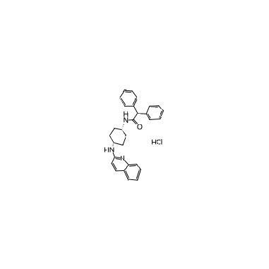 Cl.O=C(N[C@H]1CC[C@@H](Nc2ccc3ccccc3n2)CC1)C(c1ccccc1)c1ccccc1